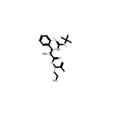 C=C(C)[C@H](CCO)OC(=O)[C@H](O)[C@@H](NC(=O)OC(C)(C)C)c1ccccc1